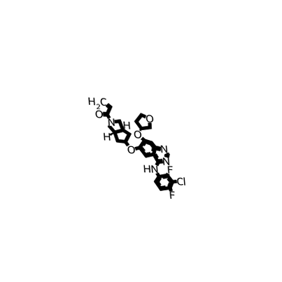 C=CC(=O)N1C[C@H]2CC(Oc3cc4c(Nc5ccc(F)c(Cl)c5F)ncnc4cc3O[C@H]3CCOC3)C[C@H]2C1